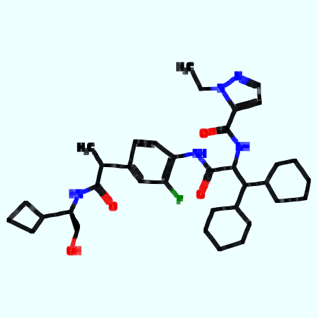 CCn1nccc1C(=O)NC(C(=O)Nc1ccc(C(C)C(=O)N[C@@H](CO)C2CCC2)cc1F)C(C1CCCCC1)C1CCCCC1